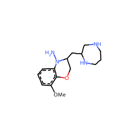 COc1cccc2c1OCC(CC1CNCCCN1)N2N